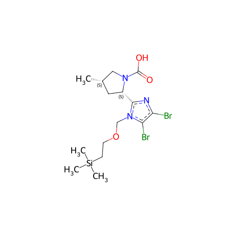 C[C@H]1C[C@@H](c2nc(Br)c(Br)n2COCC[Si](C)(C)C)N(C(=O)O)C1